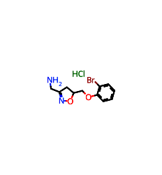 Cl.NCC1=NOC(COc2ccccc2Br)C1